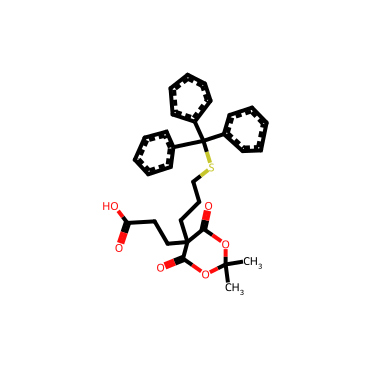 CC1(C)OC(=O)C(CCCSC(c2ccccc2)(c2ccccc2)c2ccccc2)(CCC(=O)O)C(=O)O1